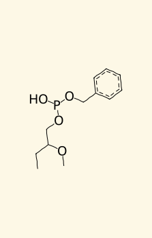 CCC(COP(O)OCc1ccccc1)OC